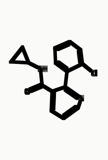 O=C(NC1CC1)c1cccnc1-c1ccccc1Cl